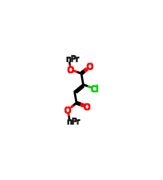 CCCOC(=O)C=C(Cl)C(=O)OCCC